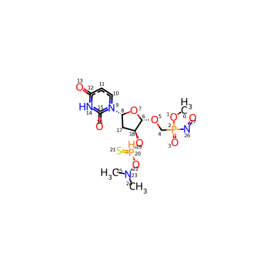 COP(=O)(CO[C@H]1O[C@@H](n2ccc(=O)[nH]c2=O)C[C@@H]1O[PH](=S)ON(C)C)N=O